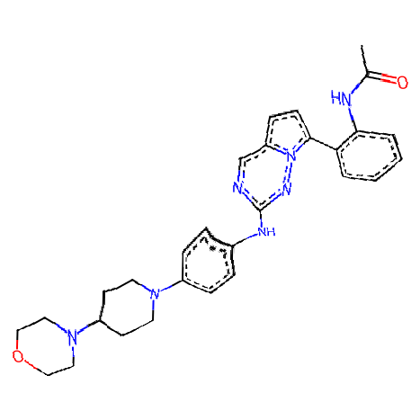 CC(=O)Nc1ccccc1-c1ccc2cnc(Nc3ccc(N4CCC(N5CCOCC5)CC4)cc3)nn12